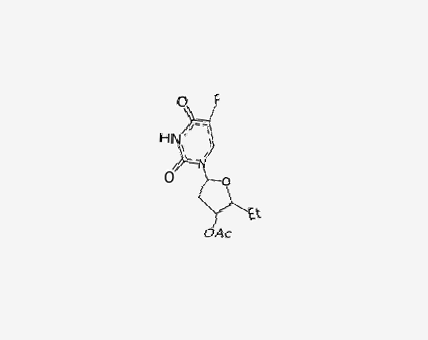 CCC1OC(n2cc(F)c(=O)[nH]c2=O)CC1OC(C)=O